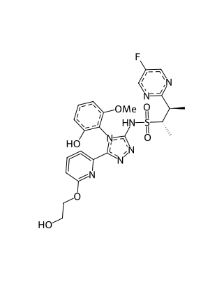 COc1cccc(O)c1-n1c(NS(=O)(=O)[C@@H](C)[C@H](C)c2ncc(F)cn2)nnc1C1=C=C=CC(OCCO)=N1